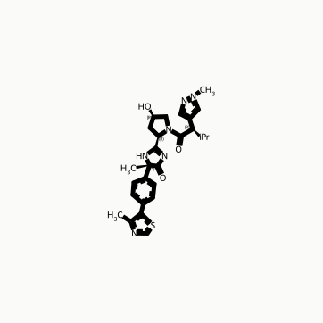 Cc1ncsc1-c1ccc([C@]2(C)NC([C@H]3C[C@@H](O)CN3C(=O)[C@@H](c3cnn(C)c3)C(C)C)=NC2=O)cc1